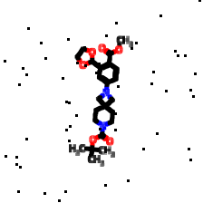 COC(=O)c1ccc(N2CC3(CCN(C(=O)OC(C)(C)C)CC3)C2)cc1C1OCCO1